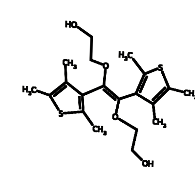 Cc1sc(C)c(/C(OCCO)=C(\OCCO)c2c(C)sc(C)c2C)c1C